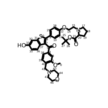 COc1cc(C(=O)c2c(-c3ccc(OCCN4CCCC4C(=O)OC(C)(C)C)cc3)sc3cc(O)ccc23)ccc1CN1CCOCC1